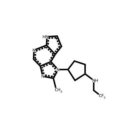 Cc1nc2cnc3[nH]ccc3c2n1C1CCC(NCC(F)(F)F)C1